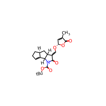 CC1=C[C@@H](O/C=C2/C(=O)N(C(=O)OC(C)(C)C)[C@@H]3C4=CCC[C@H]4C[C@H]23)OC1=O